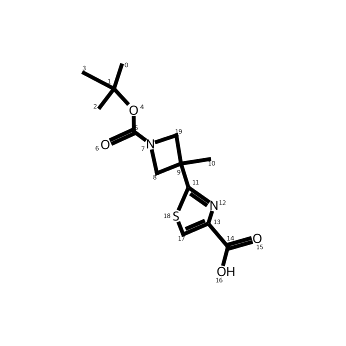 CC(C)(C)OC(=O)N1CC(C)(c2nc(C(=O)O)cs2)C1